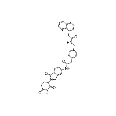 O=C(Cc1cccc2cccnc12)NCc1ccc(CC(=O)Nc2ccc3c(c2)CN(C2CCC(=O)NC2=O)C3=O)cc1